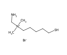 C[N+](C)(CN)CCCCCS.[Br-]